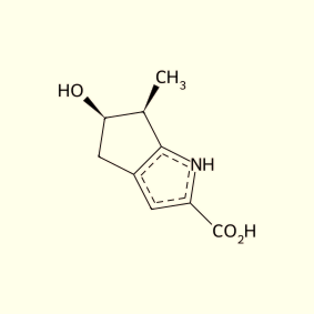 C[C@H]1c2[nH]c(C(=O)O)cc2C[C@H]1O